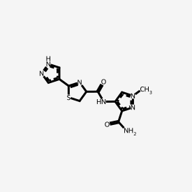 Cn1cc(NC(=O)C2CSC(c3cn[nH]c3)=N2)c(C(N)=O)n1